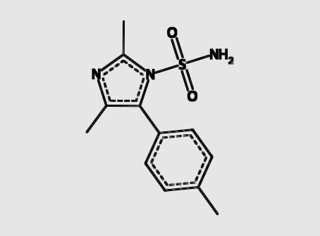 Cc1ccc(-c2c(C)nc(C)n2S(N)(=O)=O)cc1